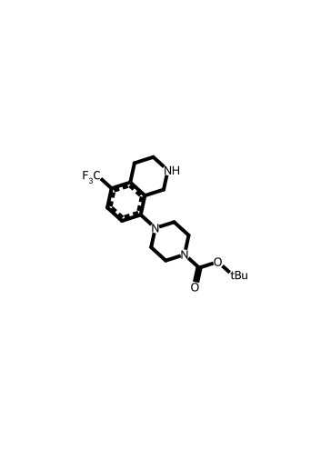 CC(C)(C)OC(=O)N1CCN(c2ccc(C(F)(F)F)c3c2CNCC3)CC1